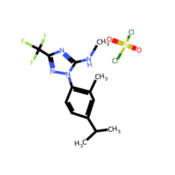 CNc1nc(C(F)(F)F)nn1-c1ccc(C(C)C)cc1C.O=S(=O)(Cl)Cl